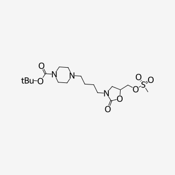 CC(C)(C)OC(=O)N1CCN(CCCCN2CC(COS(C)(=O)=O)OC2=O)CC1